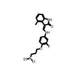 CCN(CC)CCCOc1ccc(NC=C2C(=O)Nc3cccc(C)c32)cc1F